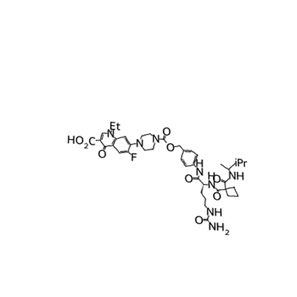 CCn1cc(C(=O)O)c(=O)c2cc(F)c(N3CCN(C(=O)OCc4ccc(NC(=O)[C@H](CCCNC(N)=O)NC(=O)C5(C(=O)NC(C)C(C)C)CCC5)cc4)CC3)cc21